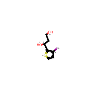 OCCC(O)c1sccc1I